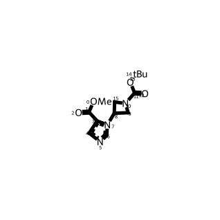 COC(=O)c1cncn1C1CN(C(=O)OC(C)(C)C)C1